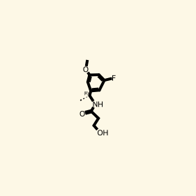 COc1cc(F)cc([C@@H](C)NC(=O)CCO)c1